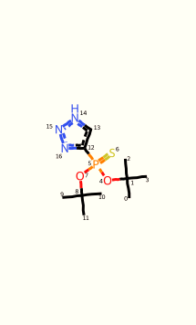 CC(C)(C)OP(=S)(OC(C)(C)C)c1c[nH]nn1